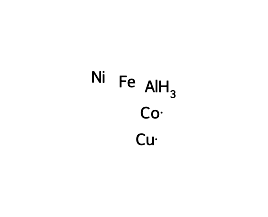 [AlH3].[Co].[Cu].[Fe].[Ni]